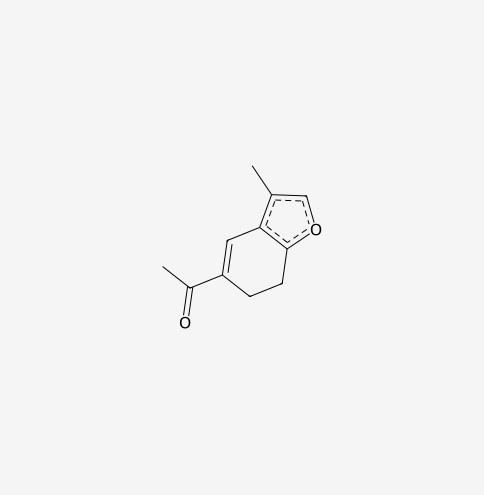 CC(=O)C1=Cc2c(C)coc2CC1